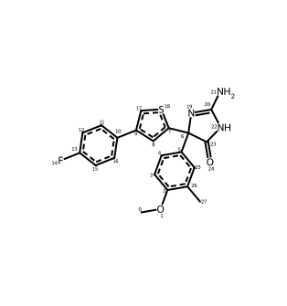 COc1ccc(C2(c3cc(-c4ccc(F)cc4)cs3)N=C(N)NC2=O)cc1C